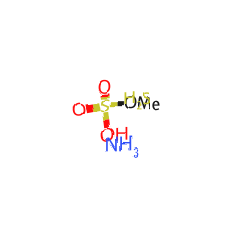 COS(=O)(=O)O.N.S